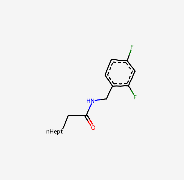 CCCCCCCCC(=O)NCc1ccc(F)cc1F